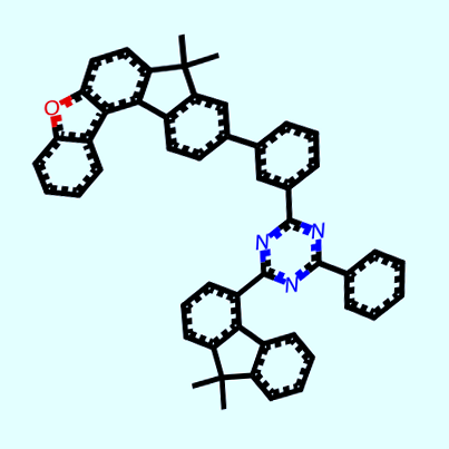 CC1(C)c2ccccc2-c2c(-c3nc(-c4ccccc4)nc(-c4cccc(-c5ccc6c(c5)C(C)(C)c5ccc7oc8ccccc8c7c5-6)c4)n3)cccc21